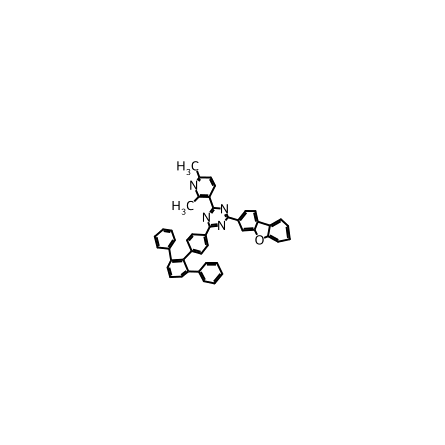 Cc1ccc(-c2nc(-c3ccc(-c4c(-c5ccccc5)cccc4-c4ccccc4)cc3)nc(-c3ccc4c(c3)oc3ccccc34)n2)c(C)n1